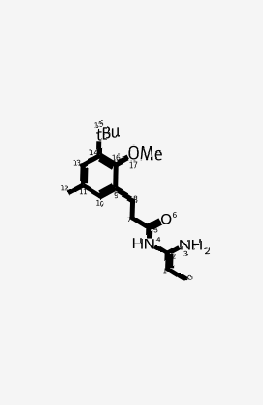 CC=C(N)NC(=O)CCc1cc(C)cc(C(C)(C)C)c1OC